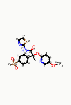 CC(Oc1ccc(OC(F)(F)F)cn1)(C(=O)Nc1nccs1)c1ccc(S(C)(=O)=O)cc1